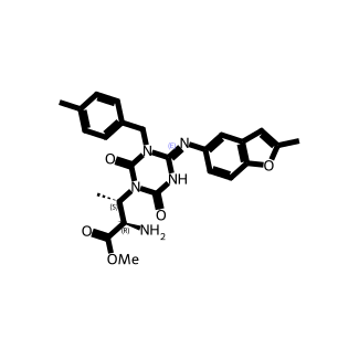 COC(=O)[C@H](N)[C@H](C)n1c(=O)[nH]/c(=N\c2ccc3oc(C)cc3c2)n(Cc2ccc(C)cc2)c1=O